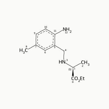 CCOC(=O)[C@H](C)NCc1cc(C)ccc1N